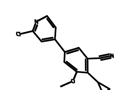 COc1cc(-c2ccnc(Cl)c2)cc(C#N)c1C1CC1